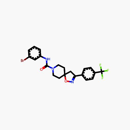 O=C(Nc1cccc(Br)c1)N1CCC2(CC1)CC(c1ccc(C(F)(F)F)cc1)=NO2